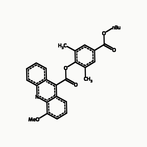 CCCCOC(=O)c1cc(C)c(OC(=O)c2c3ccccc3nc3c(OC)cccc23)c(C)c1